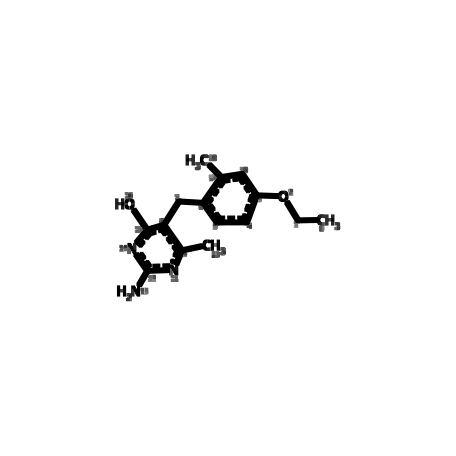 CCOc1ccc(Cc2c(C)nc(N)nc2O)c(C)c1